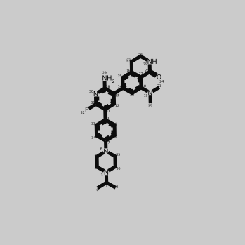 CC(C)N1CCN(c2ccc(-c3cc(-c4cc5c(c(N(C)C)c4)C(=O)NCC5)c(N)nc3F)cc2)CC1